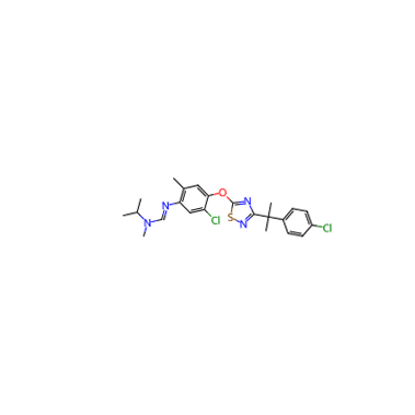 Cc1cc(Oc2nc(C(C)(C)c3ccc(Cl)cc3)ns2)c(Cl)cc1N=CN(C)C(C)C